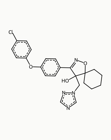 OC1(Cn2cncn2)C(c2ccc(Oc3ccc(Cl)cc3)cc2)=NOC12CCCCC2